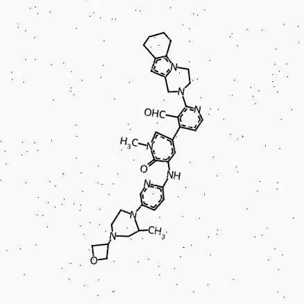 CC1CN(C2COC2)CCN1c1ccc(Nc2cc(-c3ccnc(N4CCn5c(cc6c5CCCC6)C4)c3C=O)cn(C)c2=O)nc1